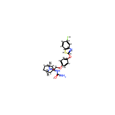 NC(=O)NC1C[C@H]2CC[C@@H](C1)N2CCOc1ccc(Oc2nc3cc(F)ccc3s2)cc1